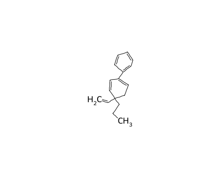 C=CC1(CCC)C=CC(c2ccccc2)=CC1